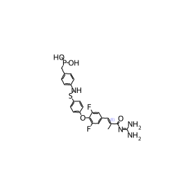 C/C(=C\c1cc(F)c(Oc2ccc(SNc3ccc(CP(O)O)cc3)cc2)c(F)c1)C(=O)N=C(N)N